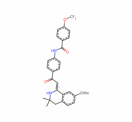 COc1ccc2c(c1)/C(=C/C(=O)c1ccc(NC(=O)c3ccc(OC(F)(F)F)cc3)cc1)NC(C)(C)C2